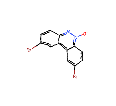 [O-][n+]1nc2ccc(Br)cc2c2cc(Br)ccc21